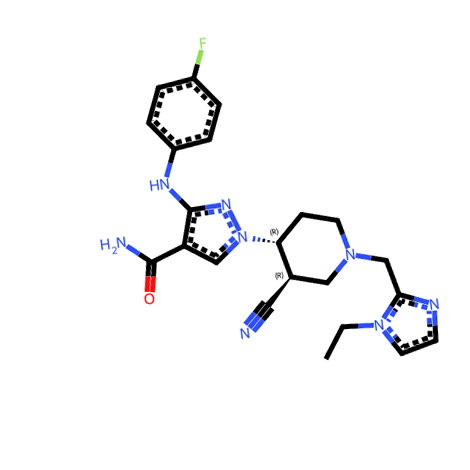 CCn1ccnc1CN1CC[C@@H](n2cc(C(N)=O)c(Nc3ccc(F)cc3)n2)[C@H](C#N)C1